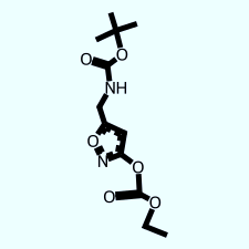 CCOC(=O)Oc1cc(CNC(=O)OC(C)(C)C)on1